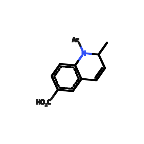 CC(=O)N1c2ccc(C(=O)O)cc2C=CC1C